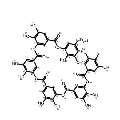 CCOC(=O)c1cc(O)c(O)c(OC(=O)c2cc(O)c(O)c(OC(=O)c3cc(O)c(O)c(OC(=O)c4cc(O)c(O)c(OC(=O)c5cc(O)c(O)c(OC(=O)c6cc(O)c(C)c(O)c6)c5)c4)c3)c2)c1